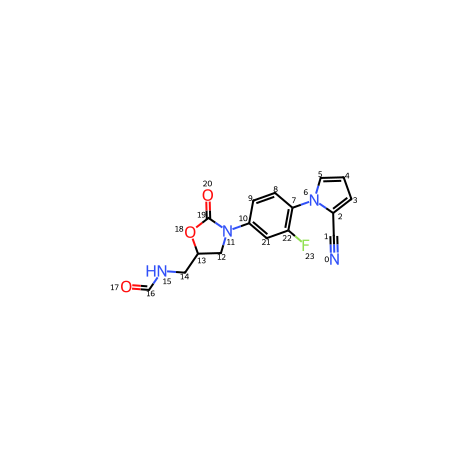 N#Cc1cccn1-c1ccc(N2CC(CNC=O)OC2=O)cc1F